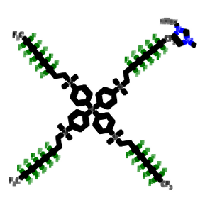 CCCCCCn1cc[n+](C)c1.C[Si](C)(CCC(F)(F)C(F)(F)C(F)(F)C(F)(F)C(F)(F)C(F)(F)F)c1ccc([B-](c2ccc([Si](C)(C)CCC(F)(F)C(F)(F)C(F)(F)C(F)(F)C(F)(F)C(F)(F)F)cc2)(c2ccc([Si](C)(C)CCC(F)(F)C(F)(F)C(F)(F)C(F)(F)C(F)(F)C(F)(F)F)cc2)c2ccc([Si](C)(C)CCC(F)(F)C(F)(F)C(F)(F)C(F)(F)C(F)(F)C(F)(F)F)cc2)cc1